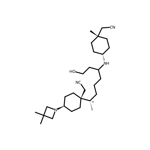 C[C@@H](CCCC(CCO)N[C@H]1CC[C@@](C)(CC#N)CC1)[C@]1(CC#N)CC[C@@H](N2CC(C)(C)C2)CC1